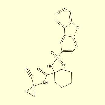 N#CC1(NC(=O)C2(NS(=O)(=O)c3ccc4oc5ccccc5c4c3)CCCCC2)CC1